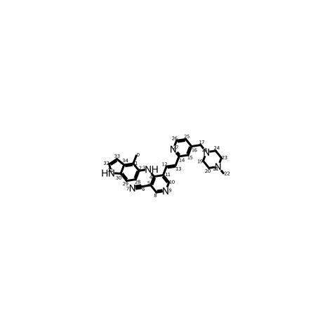 Cc1c(Nc2c(C#N)cncc2C=Cc2cc(CN3CCN(C)CC3)ccn2)ccc2[nH]ccc12